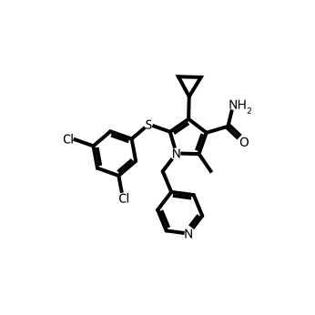 Cc1c(C(N)=O)c(C2CC2)c(Sc2cc(Cl)cc(Cl)c2)n1Cc1ccncc1